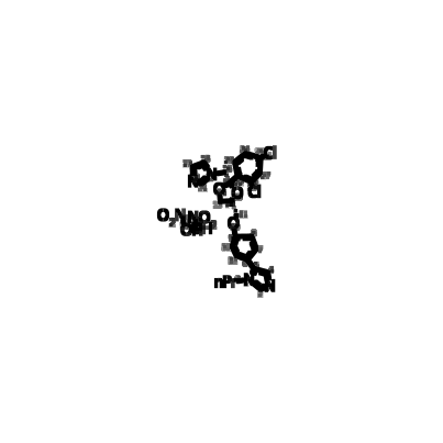 CCCn1cncc1-c1ccc(OC[C@@H]2CO[C@@](Cn3ccnc3)(c3ccc(Cl)cc3Cl)O2)cc1.O=[N+]([O-])O.O=[N+]([O-])O